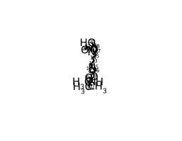 CC(C)(C)NC(=O)OC1CCN(CCCCc2ccc(O)c(C=O)n2)CC1